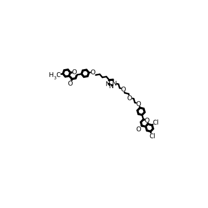 Cc1ccc2oc(-c3ccc(OCCCCc4cn(CCOCCOCCOc5ccc(-c6cc(=O)c7cc(Cl)cc(Cl)c7o6)cc5)nn4)cc3)cc(=O)c2c1